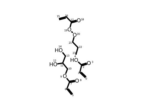 C=CC(=O)O.C=CC(=O)OCC(O)CO.C=CC(=O)OOCCC